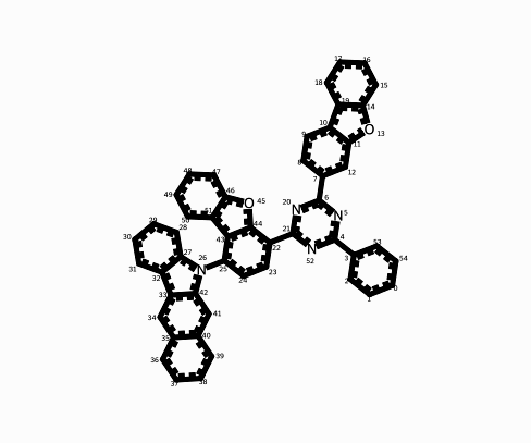 c1ccc(-c2nc(-c3ccc4c(c3)oc3ccccc34)nc(-c3ccc(-n4c5ccccc5c5cc6ccccc6cc54)c4c3oc3ccccc34)n2)cc1